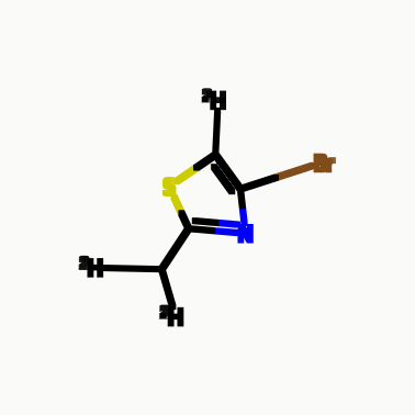 [2H]c1sc(C([2H])[2H])nc1Br